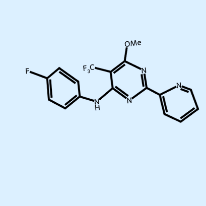 COc1nc(-c2ccccn2)nc(Nc2ccc(F)cc2)c1C(F)(F)F